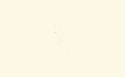 c1ccc(C2(c3ccccc3)c3ccccc3-c3ccc(-c4ccc(N(c5cccc(-c6cccc(-c7cccc8ccccc78)c6)c5)c5cccc6c5-c5ccccc5C6(c5ccccc5)c5ccccc5)cc4)cc32)cc1